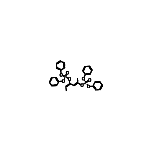 C/C=C(\C=C(/C)OP(=O)(Oc1ccccc1)Oc1ccccc1)OP(=O)(Oc1ccccc1)Oc1ccccc1